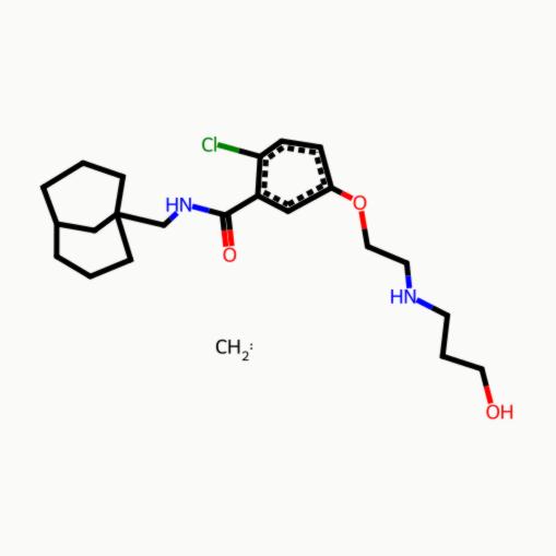 O=C(NCC12CCCC(CCC1)C2)c1cc(OCCNCCCO)ccc1Cl.[CH2]